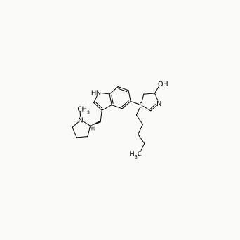 CCCCCS1(c2ccc3[nH]cc(C[C@H]4CCCN4C)c3c2)C=NC(O)C1